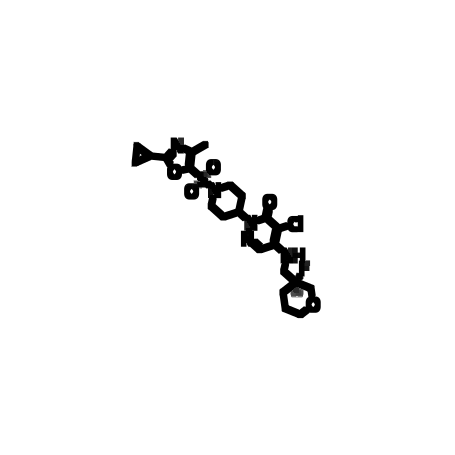 Cc1nc(C2CC2)oc1S(=O)(=O)N1CCC(n2ncc(NC[C@@]3(F)CCCOC3)c(Cl)c2=O)CC1